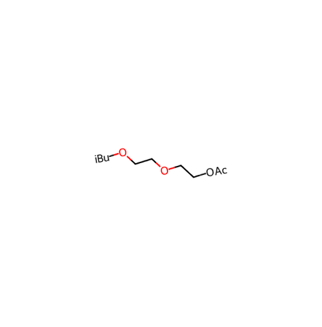 CCC(C)OCCOCCOC(C)=O